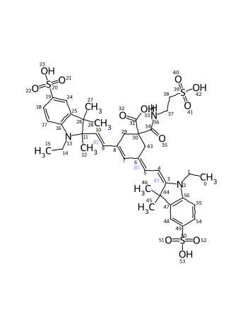 CCN1/C(=C/C=C2C=C(/C=C/C3(C)N(CC)c4ccc(S(=O)(=O)O)cc4C3(C)C)CC(C(=O)O)(C(=O)NCCS(=O)(=O)O)C/2)C(C)(C)c2cc(S(=O)(=O)O)ccc21